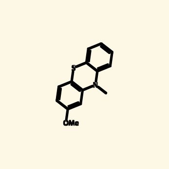 COc1ccc2c(c1)N(C)c1ccccc1S2